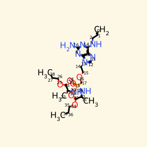 C=CCNc1nc(N)nc2c1ncn2CCOCP(=O)(NC(C)C(=O)OCCC)NC(C)C(=O)OCCC